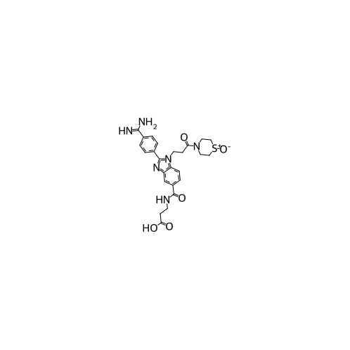 N=C(N)c1ccc(-c2nc3cc(C(=O)NCCC(=O)O)ccc3n2CCC(=O)N2CC[S+]([O-])CC2)cc1